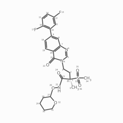 C[C@@](CCn1cnc2cc(-c3cc(F)ccc3F)ccc2c1=O)(C(=O)NOC1CCCCO1)S(C)(=O)=O